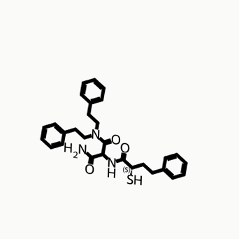 NC(=O)C(NC(=O)[C@@H](S)CCc1ccccc1)C(=O)N(CCc1ccccc1)CCc1ccccc1